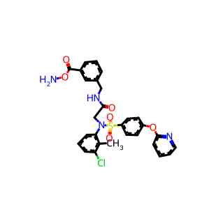 Cc1c(Cl)cccc1N(CC(=O)NCc1cccc(C(=O)ON)c1)S(=O)(=O)c1ccc(Oc2ccccn2)cc1